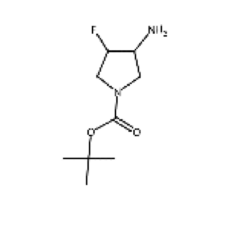 CC(C)(C)OC(=O)N1CC(N)C(F)C1